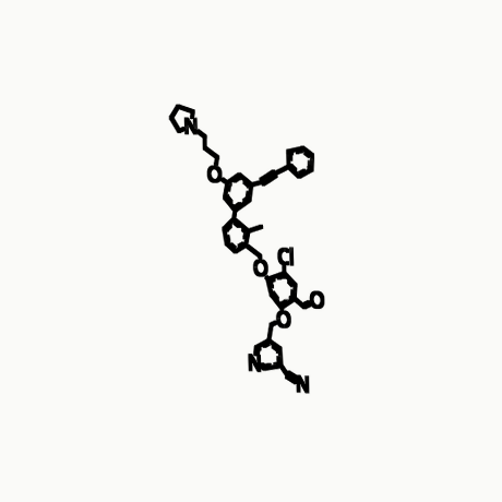 Cc1c(COc2cc(OCc3cncc(C#N)c3)c(C=O)cc2Cl)cccc1-c1cc(C#Cc2ccccc2)cc(OCCCN2CCCC2)c1